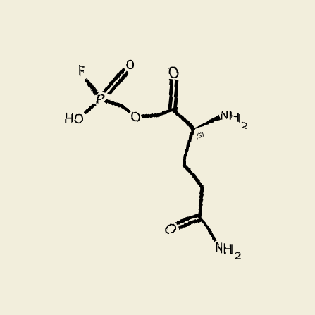 NC(=O)CC[C@H](N)C(=O)OP(=O)(O)F